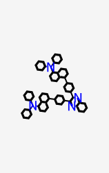 c1ccc(N(c2ccccc2)c2cccc3c(-c4ccc(-c5nc6ccccc6nc5-c5ccc(-c6cccc7c(N(c8ccccc8)c8ccccc8)cccc67)cc5)cc4)cccc23)cc1